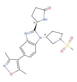 Cc1noc(C)c1-c1ccc2c(c1)nc([C@H]1CCC(=O)N1)n2[C@@H]1CCN(S(C)(=O)=O)C1